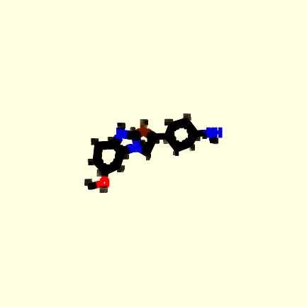 CNc1ccc(-c2cn3c(nc4ccc(OC)cc43)s2)cc1